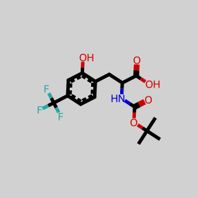 CC(C)(C)OC(=O)NC(Cc1ccc(C(F)(F)F)cc1O)C(=O)O